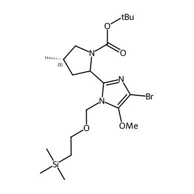 COc1c(Br)nc(C2C[C@H](C)CN2C(=O)OC(C)(C)C)n1COCC[Si](C)(C)C